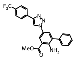 COC(=O)c1cc(-n2cc(-c3ccc(C(F)(F)F)cc3)nn2)cc(-c2ccccc2)c1N